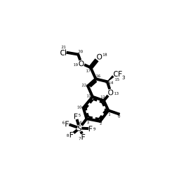 Cc1cc(S(F)(F)(F)(F)F)cc2c1O[C@H](C(F)(F)F)C(C(=O)OCCl)=C2